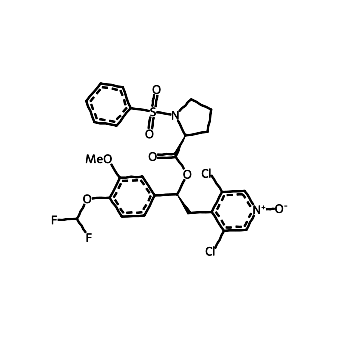 COc1cc([C@H](Cc2c(Cl)c[n+]([O-])cc2Cl)OC(=O)[C@@H]2CCCN2S(=O)(=O)c2ccccc2)ccc1OC(F)F